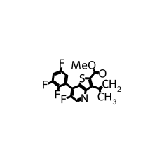 C=C(C)c1c(C(=O)OC)sc2c(-c3cc(F)cc(F)c3F)c(F)cnc12